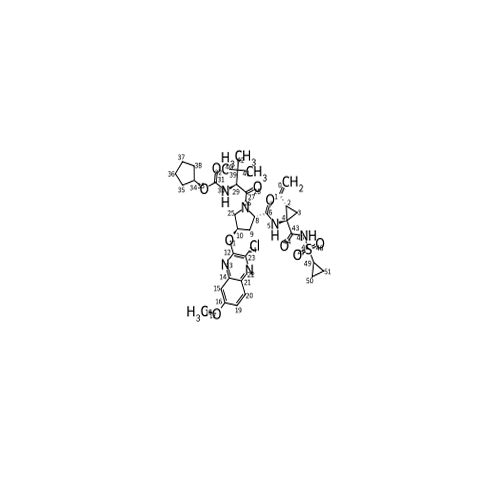 C=C[C@@H]1C[C@]1(NC(=O)[C@@H]1C[C@@H](Oc2nc3cc(OC)ccc3nc2Cl)CN1C(=O)[C@@H](NC(=O)OC1CCCC1)C(C)(C)C)C(=O)NS(=O)(=O)C1CC1